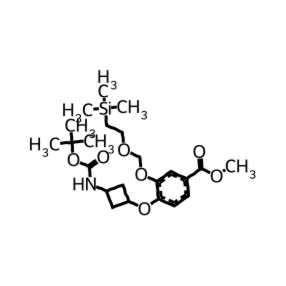 COC(=O)c1ccc(OC2CC(NC(=O)OC(C)(C)C)C2)c(OCOCC[Si](C)(C)C)c1